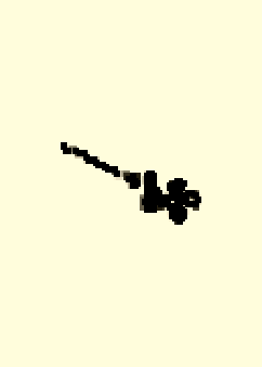 CCCCCCCCCCCCCCSCC(=O)NCC(S)COC(c1ccccc1)(c1ccccc1)c1ccccc1